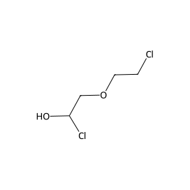 OC(Cl)COCCCl